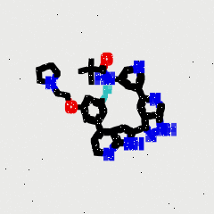 CC(C)(C)C(=O)Nc1cncc(-c2cc3c(-c4cc5c(-c6cc(F)cc(OCCN7CCCC7)c6)ccnc5[nH]4)n[nH]c3cn2)c1